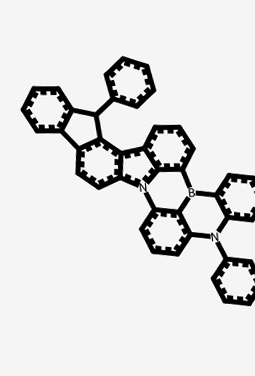 c1ccc(C2c3ccccc3-c3ccc4c(c32)c2cccc3c2n4-c2cccc4c2B3c2ccccc2N4c2ccccc2)cc1